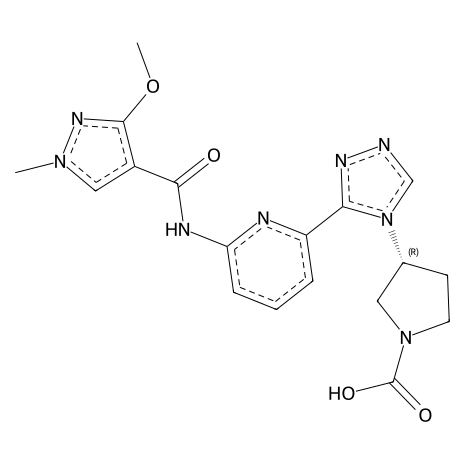 COc1nn(C)cc1C(=O)Nc1cccc(-c2nncn2[C@@H]2CCN(C(=O)O)C2)n1